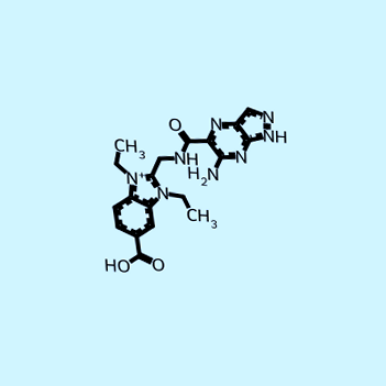 CCn1c(CNC(=O)c2nc3cn[nH]c3nc2N)[n+](CC)c2ccc(C(=O)O)cc21